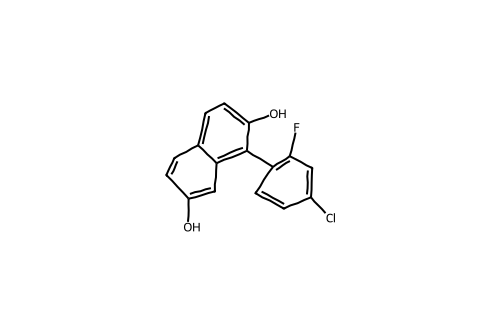 Oc1ccc2ccc(O)c(-c3ccc(Cl)cc3F)c2c1